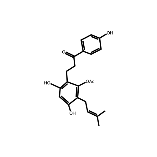 CC(=O)Oc1c(CC=C(C)C)c(O)cc(O)c1CCC(=O)c1ccc(O)cc1